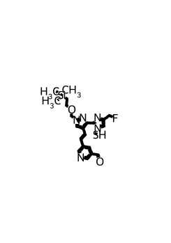 C[Si](C)(C)CCOCn1cc(/C=C/c2cncc(C=O)c2)c(-c2nc(CF)cn2S)n1